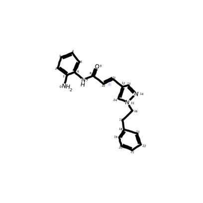 Nc1ccccc1NC(=O)/C=C/c1cnn(CCc2ccccc2)c1